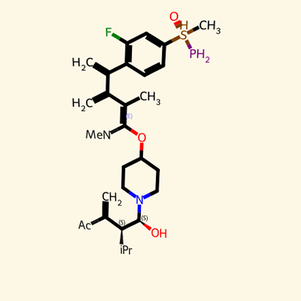 C=C(C(=C)c1ccc([SH](C)(=O)P)cc1F)/C(C)=C(\NC)OC1CCN([C@@H](O)[C@H](C(=C)C(C)=O)C(C)C)CC1